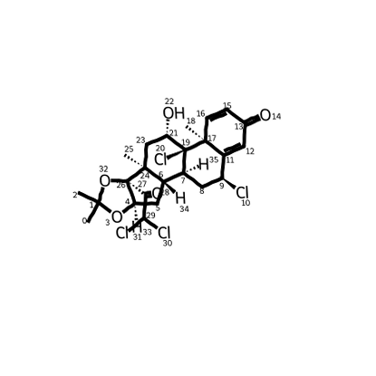 CC1(C)O[C@@H]2C[C@H]3[C@@H]4C[C@H](Cl)C5=CC(=O)C=C[C@]5(C)[C@@]4(Cl)[C@@H](O)C[C@]3(C)[C@]2(C(=O)C(Cl)Cl)O1